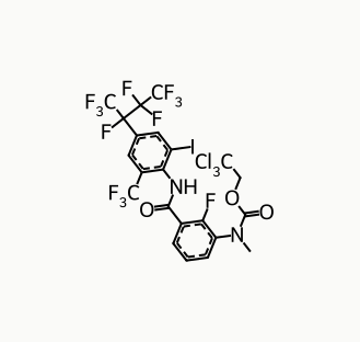 CN(C(=O)OCC(Cl)(Cl)Cl)c1cccc(C(=O)Nc2c(I)cc(C(F)(C(F)(F)F)C(F)(F)C(F)(F)F)cc2C(F)(F)F)c1F